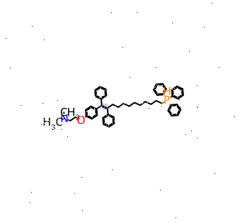 CN(C)CCOc1ccc(/C(=C(/CCCCCCCCCC[PH](c2ccccc2)(c2ccccc2)c2ccccc2)c2ccccc2)c2ccccc2)cc1